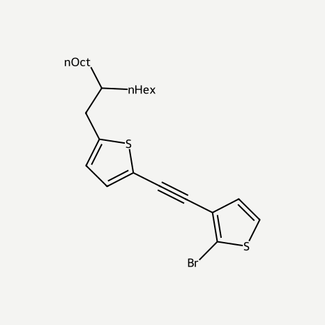 CCCCCCCCC(CCCCCC)Cc1ccc(C#Cc2ccsc2Br)s1